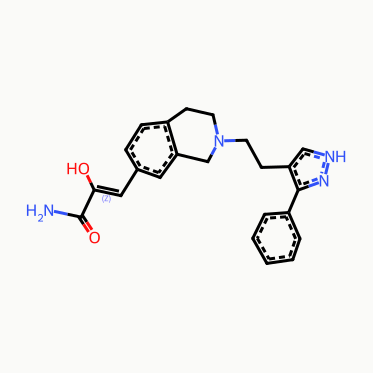 NC(=O)/C(O)=C/c1ccc2c(c1)CN(CCc1c[nH]nc1-c1ccccc1)CC2